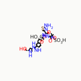 CC(O/N=C(\C(=O)N[C@@H]1C(=O)N(OS(=O)(=O)O)C1(C)C)c1csc(N)n1)(C(=O)O)[C@H]1CCc2cc(C(=N)N[C@@H]3CN[C@@H](CO)C3)ccc2O1